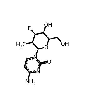 CC1[C@@H](F)[C@@H](O)[C@@H](CO)O[C@H]1n1ccc(N)nc1=O